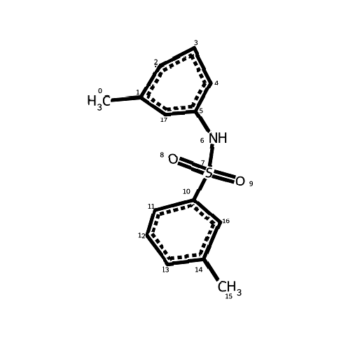 Cc1[c]ccc(NS(=O)(=O)c2cccc(C)c2)c1